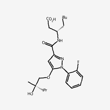 CCC(C)C[C@@H](CC(=O)O)NC(=O)c1cc(OC[C@](C)(O)C(C)C)n(-c2ccccc2F)n1